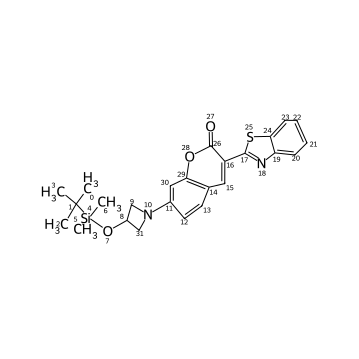 CC(C)(C)[Si](C)(C)OC1CN(c2ccc3cc(-c4nc5ccccc5s4)c(=O)oc3c2)C1